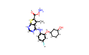 Cc1c(C(=O)ON)sc2ncnc(Nc3ccc(F)cc3OC3CCCC(O)C3)c12